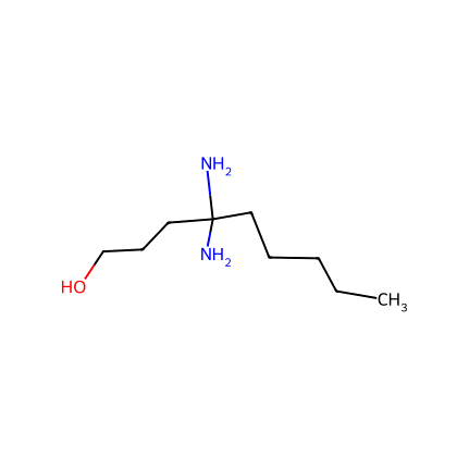 CCCCCC(N)(N)CCCO